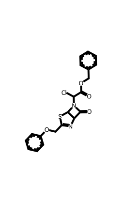 O=C(OCc1ccccc1)C(Cl)N1C(=O)C2N=C(COc3ccccc3)SC21